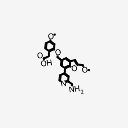 COCc1cc2cc(COc3cc(OC)ccc3CC(=O)O)cc(-c3ccnc(CN)c3)c2o1